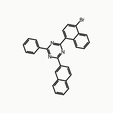 Brc1ccc(-c2nc(-c3ccccc3)nc(-c3ccc4ccccc4c3)n2)c2ccccc12